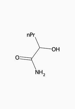 CCCC(O)C(N)=O